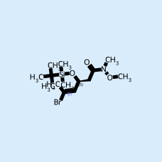 CON(C)C(=O)C[C@@H](/C=C(\C)Br)O[Si](C)(C)C(C)(C)C